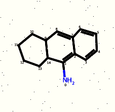 NC1=c2ccccc2=CC2CCCCC12